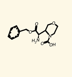 N[C@@H](C(=O)OCc1ccccc1)C1COCCN1C(=O)O